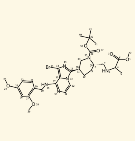 COC(=O)C(C)NC[C@@H]1CC[C@@H](c2nc(Br)c3c(NCc4ccc(OC)cc4OC)nccn23)CN1C(=O)OC(C)(C)C